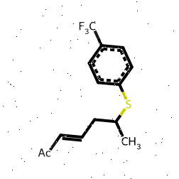 CC(=O)C=CCC(C)Sc1ccc(C(F)(F)F)cc1